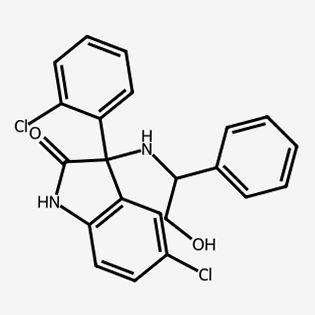 O=C1Nc2ccc(Cl)cc2C1(NC(CO)c1ccccc1)c1ccccc1Cl